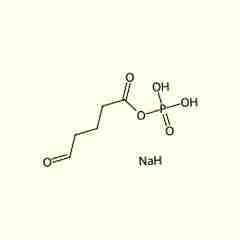 O=CCCCC(=O)OP(=O)(O)O.[NaH]